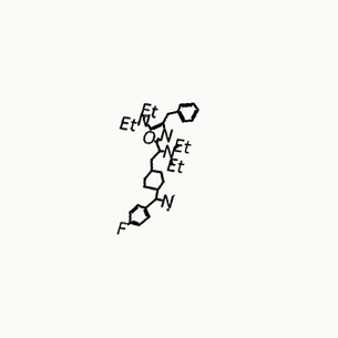 CCN(CC)c1oc(C(CC2CCC(C(c3ccc(F)cc3)N(C)C)CC2)N(CC)CC)nc1Cc1ccccc1